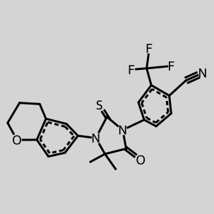 CC1(C)C(=O)N(c2ccc(C#N)c(C(F)(F)F)c2)C(=S)N1c1ccc2c(c1)CCCO2